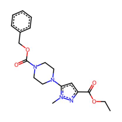 CCOC(=O)c1cc(N2CCN(C(=O)OCc3ccccc3)CC2)n(C)n1